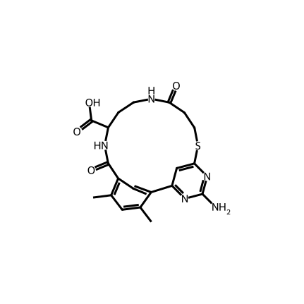 Cc1cc(C)c2cc1C(=O)NC(C(=O)O)CCNC(=O)CCSc1cc-2nc(N)n1